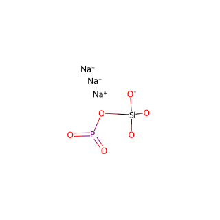 O=P(=O)O[Si]([O-])([O-])[O-].[Na+].[Na+].[Na+]